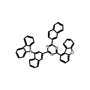 c1ccc2cc(-c3nc(-c4cc(-n5c6ccccc6c6ccccc65)c5ccccc5c4)nc(-c4cccc5oc6ccccc6c45)n3)ccc2c1